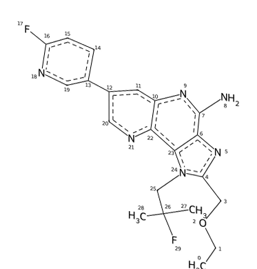 CCOCc1nc2c(N)nc3cc(-c4ccc(F)nc4)cnc3c2n1CC(C)(C)F